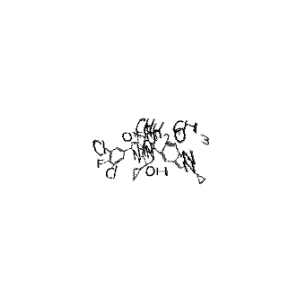 COc1cc(C(=O)NCC(O)(c2cc3c(c(-c4cc(Cl)c(F)c(Cl)c4)n2)OC[C@]3(C)C(N)=O)C2CC2)cc2cn(C3CC3)nc12